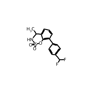 CC1NS(=O)(=O)Oc2c(-c3ccc(C(F)F)cc3)cccc21